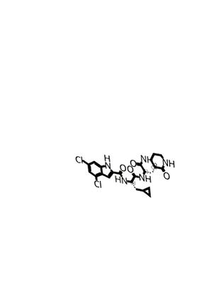 NC(=O)[C@H](C[C@@H]1CCCNC1=O)NC(=O)[C@H](CC1CC1)NC(=O)c1cc2c(Cl)cc(Cl)cc2[nH]1